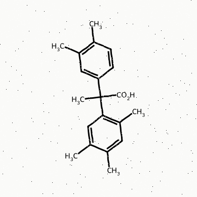 Cc1ccc(C(C)(C(=O)O)c2cc(C)c(C)cc2C)cc1C